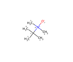 CC(C)(C)[N+](C)(C)[O-]